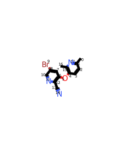 Cc1ccc(Oc2cc(Br)cnc2C#N)c(C)n1